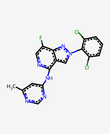 Cc1cc(Nc2ncc(F)c3nn(-c4c(Cl)cccc4Cl)cc23)ncn1